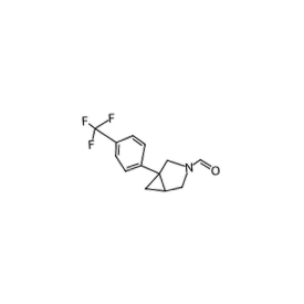 O=CN1CC2CC2(c2ccc(C(F)(F)F)cc2)C1